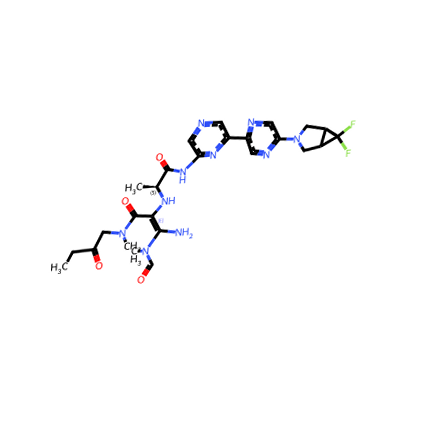 CCC(=O)CN(C)C(=O)/C(N[C@@H](C)C(=O)Nc1cncc(-c2cnc(N3CC4C(C3)C4(F)F)cn2)n1)=C(/N)N(C)C=O